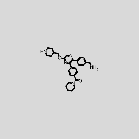 NCc1ccc(-c2ncc(OCC3CCNCC3)nc2-c2ccc(C(=O)N3CCCCC3)cc2)cc1